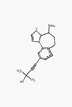 CNC1CCc2ccc(C#CC(C)(C)O)cc2N2C=CNC12